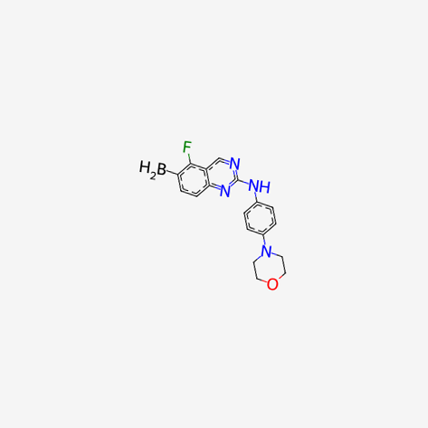 Bc1ccc2nc(Nc3ccc(N4CCOCC4)cc3)ncc2c1F